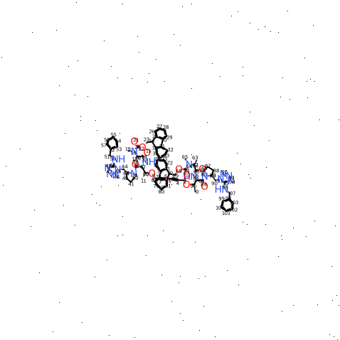 C[C@@H](OCC#CC#CCO[C@H](C)C(NC(=O)[C@H](C)N(C)C(=O)OCC1c2ccccc2-c2ccccc21)C(=O)N1CCC[C@H]1Cn1nnnc1NCc1ccccc1)C(NC(=O)[C@H](C)N(C)C(=O)OCC1c2ccccc2-c2ccccc21)C(=O)N1CCC[C@H]1Cn1nnnc1NCc1ccccc1